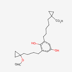 O=COC1(CCCCc2cc(O)cc(CCCCCC3(C(=O)O)CC3)c2O)CC1